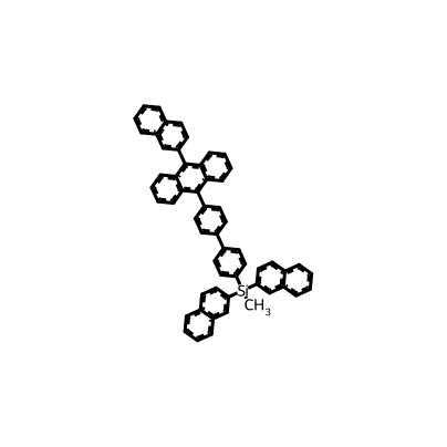 C[Si](c1ccc(-c2ccc(-c3c4ccccc4c(-c4ccc5ccccc5c4)c4ccccc34)cc2)cc1)(c1ccc2ccccc2c1)c1ccc2ccccc2c1